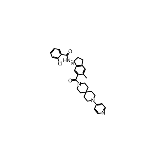 Cc1cc2c(cc1C(=O)N1CCC3(CC1)CCN(c1ccncc1)CC3)[C@H](NC(=O)c1ccccc1Cl)CC2